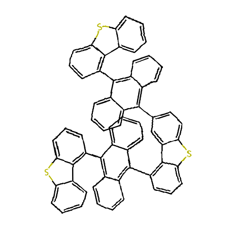 c1ccc2c(c1)sc1cccc(-c3c4ccccc4c(-c4ccc5sc6cccc(-c7c8ccccc8c(-c8cccc9sc%10ccccc%10c89)c8ccccc78)c6c5c4)c4ccccc34)c12